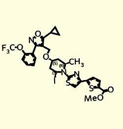 COC(=O)c1ccc(-c2csc(N3[C@H](C)C[C@H](OCc4c(-c5ccccc5OC(F)(F)F)noc4C4CC4)C[C@@H]3I)n2)s1